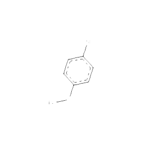 CCC(C)Sc1ccc(N)cc1